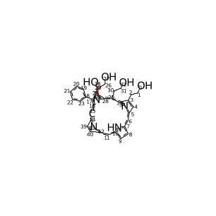 OCCC1=Cc2cc3ccc(cc4nc(cc5c(-c6ccccc6)c(CCO)c(c(CCO)c1n2)n5CCO)C=C4)[nH]3